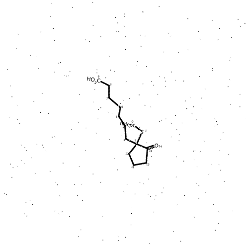 CCCCCCCSC1(CCCCCCC(=O)O)CCCC1=O